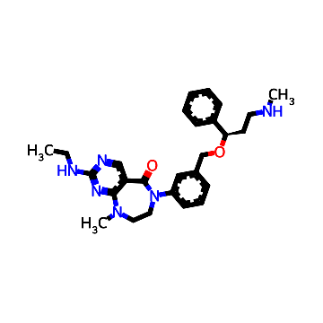 CCNc1ncc2c(n1)N(C)CCN(c1cccc(CO[C@H](CCNC)c3ccccc3)c1)C2=O